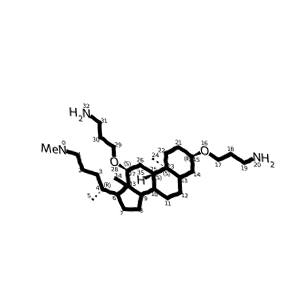 CNCCC[C@@H](C)C1CCC2C3CCC4C[C@H](OCCCN)CC[C@]4(C)[C@H]3C[C@H](OCCCN)C21C